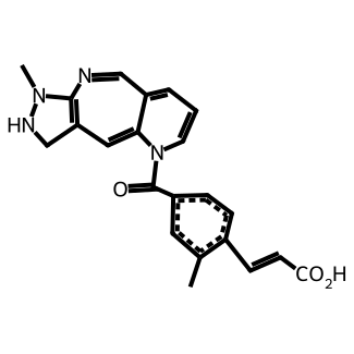 Cc1cc(C(=O)N2C=CC=C3C=NC4=C(C=C32)CNN4C)ccc1C=CC(=O)O